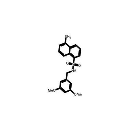 COc1cc(CNS(=O)(=O)c2cccc3c(N)cccc23)cc(OC)c1